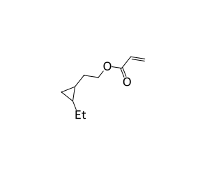 C=CC(=O)OCCC1CC1CC